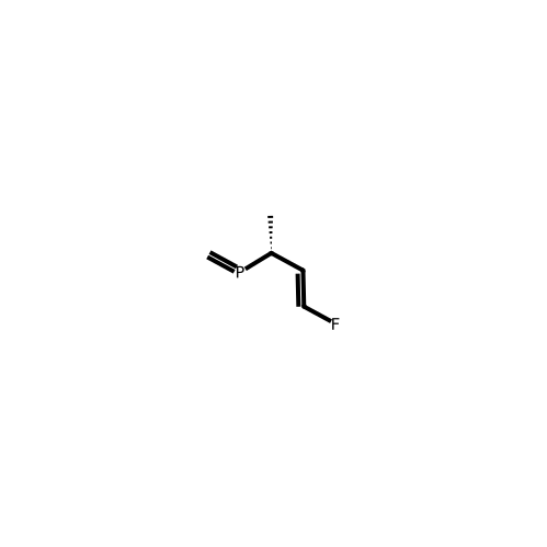 C=P[C@H](C)/C=C/F